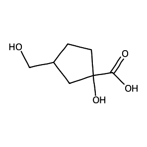 O=C(O)C1(O)CCC(CO)C1